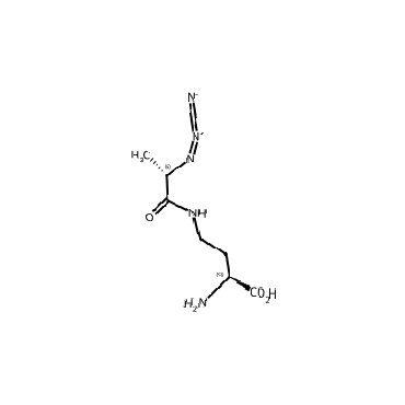 C[C@H](N=[N+]=[N-])C(=O)NCC[C@H](N)C(=O)O